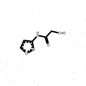 O=CCC(=O)Nc1ccon1